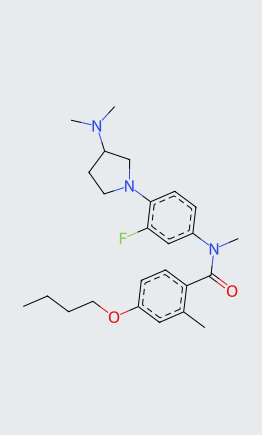 CCCCOc1ccc(C(=O)N(C)c2ccc(N3CCC(N(C)C)C3)c(F)c2)c(C)c1